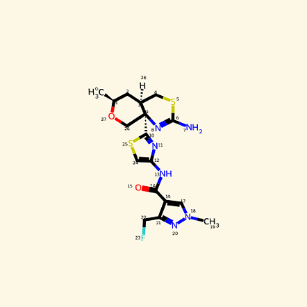 C[C@H]1C[C@H]2CSC(N)=N[C@@]2(c2nc(NC(=O)c3cn(C)nc3CF)cs2)CO1